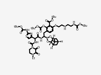 CCN1CCN(C(=O)NC(C(=O)NC(Cc2ccc(SCCNCCNC(=O)OC(C)(C)C)c(C(=O)OC(C)(C)C)c2OC(=O)OC(C)(C)C)B2O[C@@H]3C[C@@H]4C[C@@H](C4(C)C)[C@]3(C)O2)c2csc(NC(=O)OC(C)(C)C)n2)C(=O)C1=O